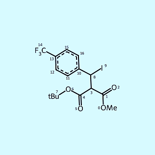 COC(=O)C(C(=O)OC(C)(C)C)C(I)c1ccc(C(F)(F)F)cc1